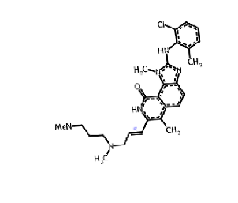 CNCCCN(C)C/C=C/c1[nH]c(=O)c2c(ccc3nc(Nc4c(C)cccc4Cl)n(C)c32)c1C